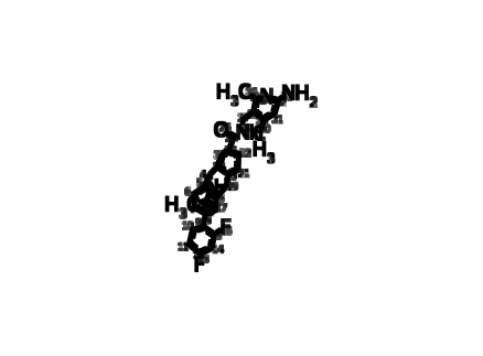 CC(=O)N1C2c3ccc(-c4ccc(F)cc4F)cc3C1c1ccc(C(=O)NCc3c(C)cc(N)nc3C)cc12